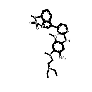 CCN(CC)CCN(C)c1cc(OC)c(Nc2nccc(-c3cn4c5c(cccc35)N(C)S4(=O)=O)n2)cc1N